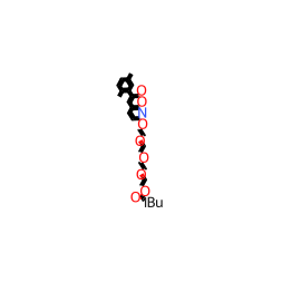 CCC(C)C(=O)OCCOCCOCCOCCOc1ccc2cc(-c3cc(C)ccc3C)c(=O)oc2n1